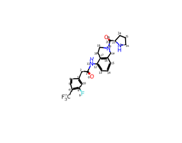 O=C(Cc1ccc(C(F)(F)F)c(F)c1)Nc1cccc2c1CCN(C(=O)[C@H]1CCCN1)C2